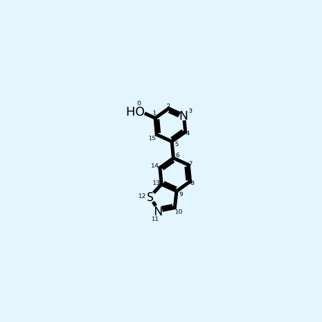 Oc1cncc(-c2ccc3cnsc3c2)c1